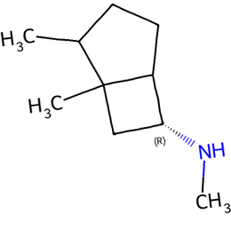 CN[C@@H]1CC2(C)C(C)CCC12